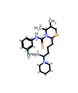 CCCCCCCC(CCCC1SCC(C)C(C)N1C(=S)Nc1cccc(Cl)c1)N1CCCCC1